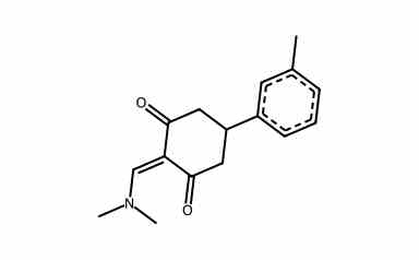 Cc1cccc(C2CC(=O)C(=CN(C)C)C(=O)C2)c1